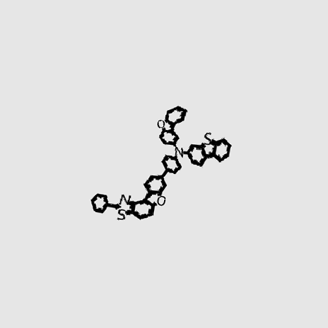 c1ccc(-c2nc3c(ccc4oc5cc(-c6ccc(N(c7ccc8c(c7)sc7ccccc78)c7ccc8oc9ccccc9c8c7)cc6)ccc5c43)s2)cc1